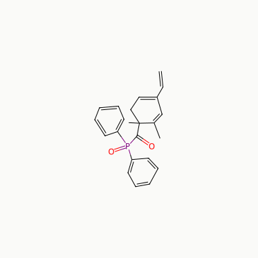 C=CC1=CCC(C)(C(=O)P(=O)(c2ccccc2)c2ccccc2)C(C)=C1